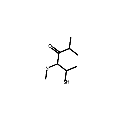 CNC(C(=O)C(C)C)C(C)S